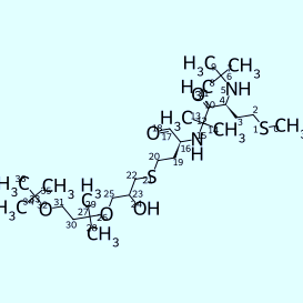 CSCC[C@H](NC(C)(C)C)C(=O)C(C)(C)N[C@H](C=O)CCSCC(O)COC(C)(C)CCOC(C)(C)C